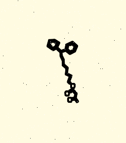 CC(=O)CC(=O)OCCCCCCCC(c1ccccc1)c1ccccc1